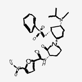 CC(C)N(C)[C@@H]1CC[C@H](N2CC[C@H](NC(=O)c3ccc([N+](=O)[O-])o3)C2=O)[C@H](CS(=O)(=O)c2ccccc2)C1